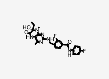 CC[C@]1(O)C(=O)Nc2c(C)nc(NCc3ccc(C(=O)Nc4ccc(F)cc4)cc3F)nc2N1C